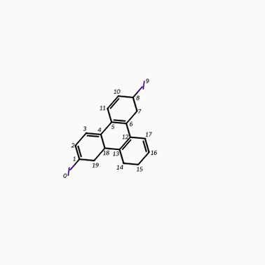 IC1=CC=C2C3=C(CC(I)C=C3)C3=C(CCC=C3)C2C1